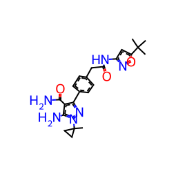 CC(C)(C)c1cc(NC(=O)Cc2ccc(-c3nn(C4(C)CC4)c(N)c3C(N)=O)cc2)no1